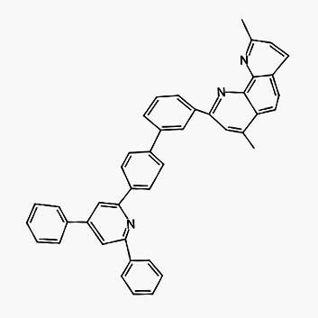 Cc1ccc2ccc3c(C)cc(-c4cccc(-c5ccc(-c6cc(-c7ccccc7)cc(-c7ccccc7)n6)cc5)c4)nc3c2n1